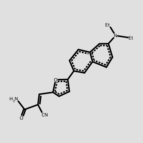 CCN(CC)c1ccc2cc(-c3ccc(/C=C(\C#N)C(N)=O)o3)ccc2c1